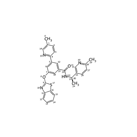 Cc1ccc(-c2cc(Oc3nc4ccccc4s3)cc(C(=O)N[C@H](C)c3ccc(C)nc3)c2)nc1